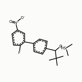 C[SiH](C)OC(c1ccc(-c2cc([N+](=O)[O-])ccc2F)cc1)C(C)(C)C